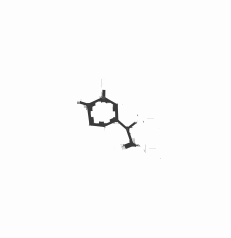 NC(=O)C(N)c1ccc(Cl)c(F)c1